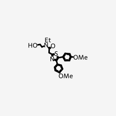 CCN(CCO)C(=O)Cc1nc(-c2ccc(OC)cc2)c(-c2ccc(OC)cc2)s1